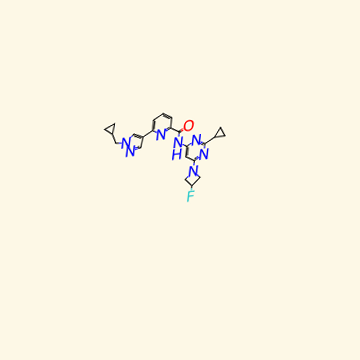 O=C(Nc1cc(N2CC(F)C2)nc(C2CC2)n1)c1cccc(-c2cnn(CC3CC3)c2)n1